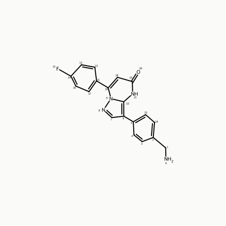 NCc1ccc(-c2cnn3c(-c4ccc(F)cc4)cc(=O)[nH]c23)cc1